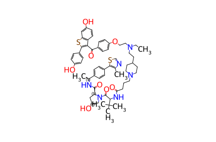 CCN(CCOc1ccc(C(=O)c2c(-c3ccc(O)cc3)sc3cc(O)ccc23)cc1)CCC1CCN(CCCC(=O)NC(C(=O)N2C[C@H](O)C[C@H]2C(=O)N[C@@H](C)c2ccc(-c3scnc3C)cc2)C(C)(C)C)CC1